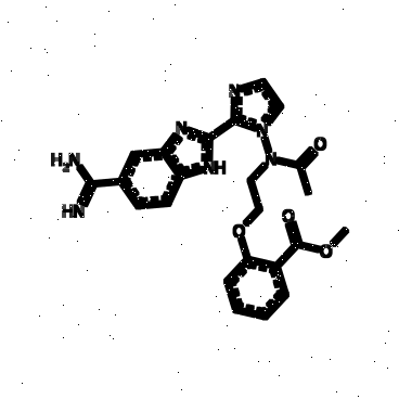 COC(=O)c1ccccc1OCCN(C(C)=O)n1ccnc1-c1nc2cc(C(=N)N)ccc2[nH]1